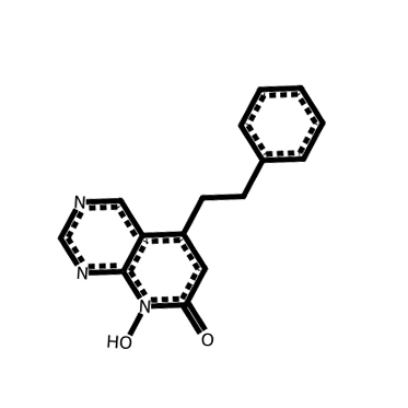 O=c1cc(CCc2ccccc2)c2cncnc2n1O